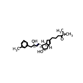 Cc1cccc(C[C@H](O)/C=C/[C@@H]2[C@H]3CC(CCCC(=O)N(C)C)=C[C@H]3C[C@H]2O)c1